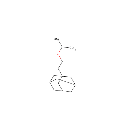 CCC(C)C(C)OCCC12CC3CC(CC(C3)C1)C2